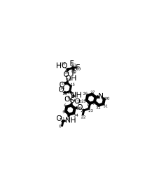 CC(=O)Nc1ccc(S(=O)(=O)NC(C=O)CC(=O)O)c(OC(C)Cc2cccc3ncccc23)c1.O=C(O)C(F)(F)F